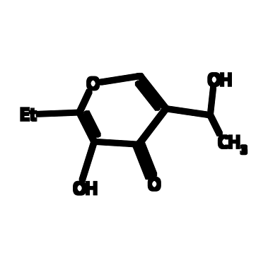 CCc1occ(C(C)O)c(=O)c1O